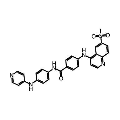 CS(=O)(=O)c1ccc2nccc(Nc3ccc(C(=O)Nc4ccc(Nc5ccncc5)cc4)cc3)c2c1